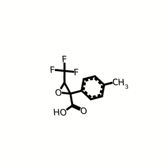 Cc1ccc(C2(C(=O)O)OC2C(F)(F)F)cc1